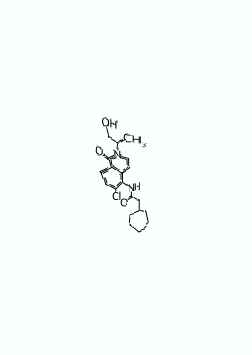 C[C@H](CO)n1ccc2c(NC(=O)CC3CCCCCC3)c(Cl)ccc2c1=O